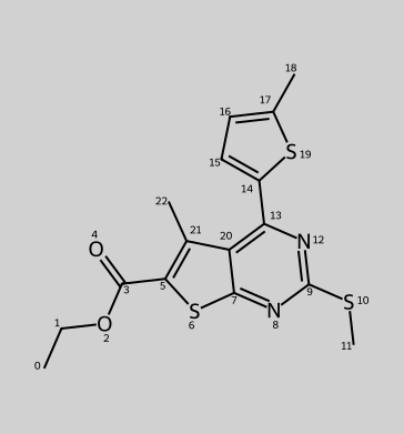 CCOC(=O)c1sc2nc(SC)nc(-c3ccc(C)s3)c2c1C